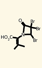 CC(C)=C(C(=O)O)N1C(=O)C(Br)(Br)C1Br